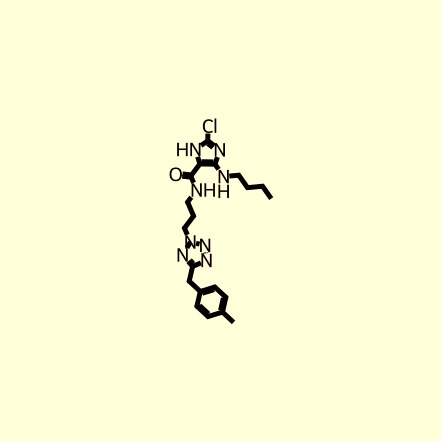 CCCCNc1nc(Cl)[nH]c1C(=O)NCCCn1nnc(Cc2ccc(C)cc2)n1